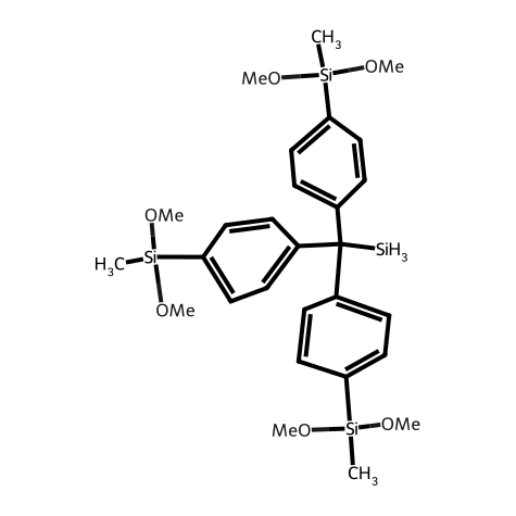 CO[Si](C)(OC)c1ccc(C([SiH3])(c2ccc([Si](C)(OC)OC)cc2)c2ccc([Si](C)(OC)OC)cc2)cc1